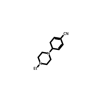 CCN1CCN(C2C=CC(C#N)=CC2)CC1